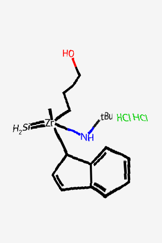 CC(C)(C)[NH][Zr]([CH3])(=[SiH2])([CH2]CCO)[CH]1C=Cc2ccccc21.Cl.Cl